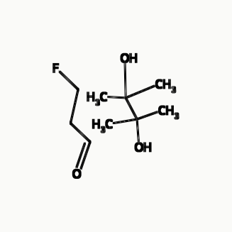 CC(C)(O)C(C)(C)O.O=CCCF